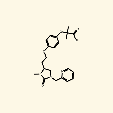 CN1C(=O)N(Cc2ccccn2)CC1CCOc1ccc(OC(C)(C)C(=O)O)cc1